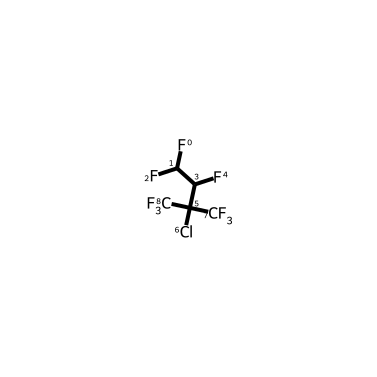 FC(F)C(F)C(Cl)(C(F)(F)F)C(F)(F)F